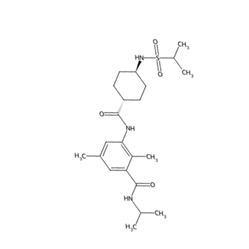 Cc1cc(NC(=O)[C@H]2CC[C@H](NS(=O)(=O)C(C)C)CC2)c(C)c(C(=O)NC(C)C)c1